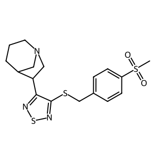 CS(=O)(=O)c1ccc(CSc2nsnc2C2CN3CCCC2C3)cc1